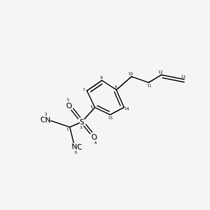 [C-]#[N+]C([N+]#[C-])S(=O)(=O)c1ccc(CCC=C)cc1